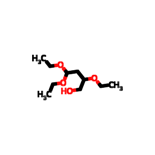 CCOC(CO)CC(OCC)OCC